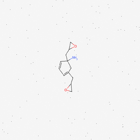 NC1(CC2CO2)C=CC=C(CC2CO2)C1